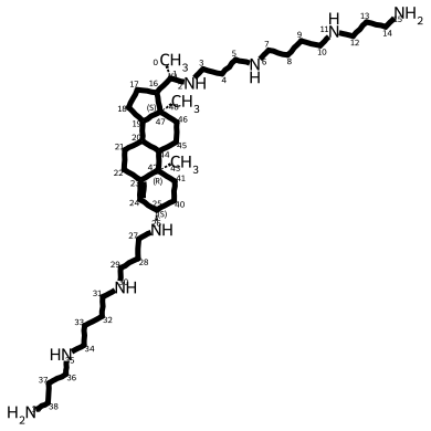 C[C@H](NCCCNCCCCNCCCN)C1CCC2C3CCC4=C[C@@H](NCCCNCCCCNCCCN)CC[C@]4(C)C3CC[C@@]21C